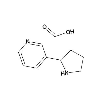 O=CO.c1cncc(C2CCCN2)c1